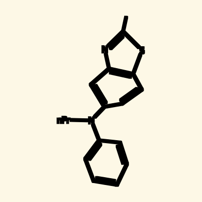 CCCN(c1ccccc1)c1ccc2sc(C)nc2c1